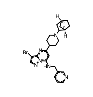 Brc1cnn2c(NCc3cccnc3)cc(C3CCN(C4C[C@@H]5CC[C@H]4C5)CC3)nc12